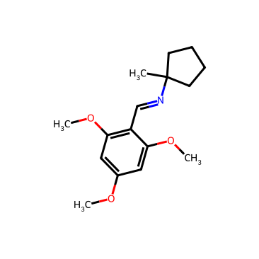 COc1cc(OC)c(C=NC2(C)CCCC2)c(OC)c1